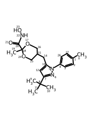 Cc1ccc(-n2nc(C(C)(C)C)cc2CC2COC(C)(C(=O)NO)OC2)cc1